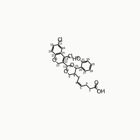 O=C(O)CC/C=C\CC1COC(C2=C(Cl)c3cc(Cl)ccc3OC2)OC1c1ccccc1O